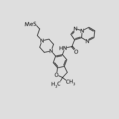 CSCCN1CCN(c2cc3c(cc2NC(=O)c2cnn4cccnc24)CC(C)(C)O3)CC1